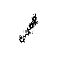 CCC(CCCCN1CCCCCC1=O)NC(C)Cc1ccc(OS(=O)(=O)c2ccc(Cl)cc2)cc1